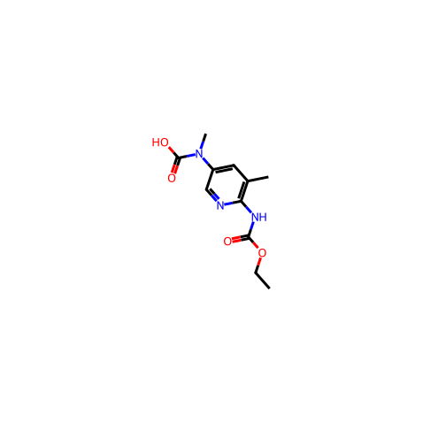 CCOC(=O)Nc1ncc(N(C)C(=O)O)cc1C